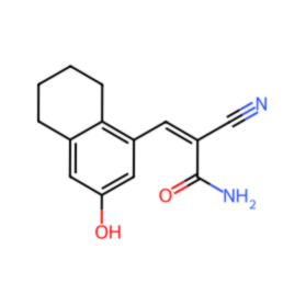 N#CC(=Cc1cc(O)cc2c1CCCC2)C(N)=O